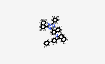 c1ccc(-c2ccc3c4c5ccccc5ccc4n(-c4ccc(-c5nc(-c6ccccc6)nc(-c6cccc7ccccc67)n5)c5ccccc45)c3c2)cc1